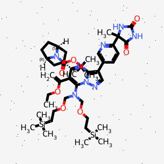 C=C(OCC)c1c([C@@H]2C[C@H]3CC[C@@H](C2)N3C(=O)OC(C)(C)C)nc2c(-c3ccc(C4(C)NC(=O)NC4=O)nc3)cnn2c1N(COCC[Si](C)(C)C)COCC[Si](C)(C)C